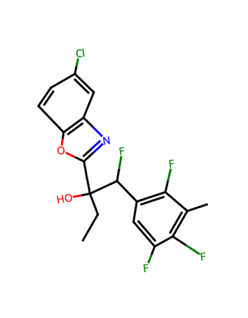 CCC(O)(c1nc2cc(Cl)ccc2o1)C(F)c1cc(F)c(F)c(C)c1F